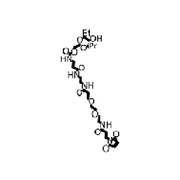 CCC(CO)OC(COC(=O)NCCC(=O)NCCNC(=O)CCOCCOCCNC(=O)CCN1C(=O)C=CC1=O)OC(C)C